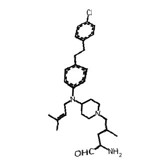 CC(C)=CCN(c1ccc(CCc2ccc(Cl)cc2)cc1)C1CCN(CC(C)CC(N)C=O)CC1